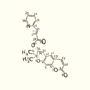 CC1(C)Oc2cc3oc(=O)ccc3cc2C[C@H]1OC(=O)/C=C/c1ccccn1